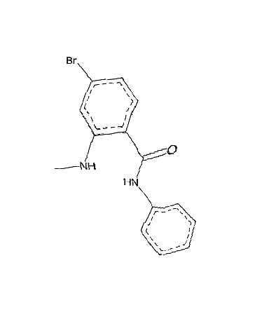 CNc1cc(Br)ccc1C(=O)Nc1ccccc1